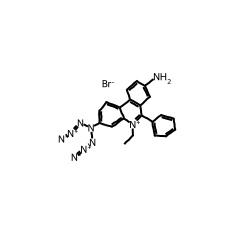 CC[n+]1c(-c2ccccc2)c2cc(N)ccc2c2ccc(N(N=[N+]=[N-])N=[N+]=[N-])cc21.[Br-]